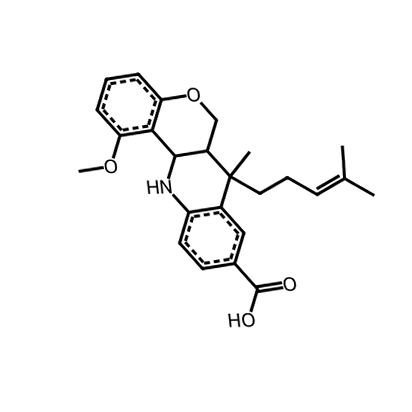 COc1cccc2c1C1Nc3ccc(C(=O)O)cc3C(C)(CCC=C(C)C)C1CO2